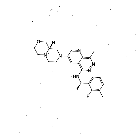 Cc1cccc([C@@H](C)Nc2nnc(C)c3ncc(N4CCN5CCOC[C@@H]5C4)cc23)c1F